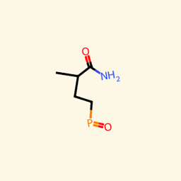 CC(CCP=O)C(N)=O